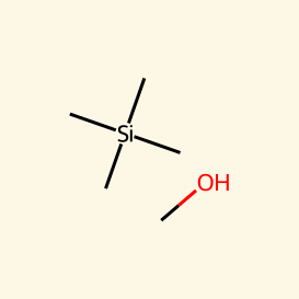 CO.C[Si](C)(C)C